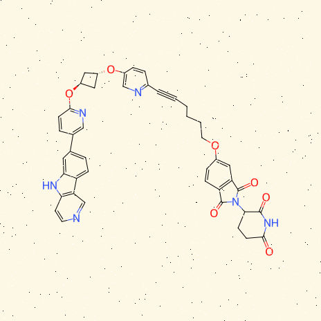 O=C1CCC(N2C(=O)c3ccc(OCCCCC#Cc4ccc(O[C@H]5C[C@H](Oc6ccc(-c7ccc8c(c7)[nH]c7ccncc78)cn6)C5)cn4)cc3C2=O)C(=O)N1